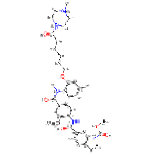 COc1cc(C(=O)N(C)c2ccc(C)cc2OCCCCCC(=O)N2CCN(C)CC2)ccc1NC(=O)c1ccc2c(c1)N(C(=O)OC(C)(C)C)CC2